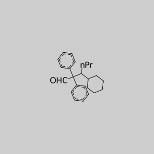 CCCC(C1CCCCC1)C(C=O)(c1ccccc1)c1ccccc1